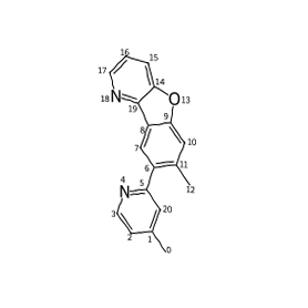 Cc1ccnc(-c2cc3c(cc2C)oc2cccnc23)c1